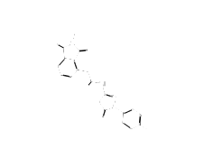 CN1C(=O)c2cccc(CC(=O)NC3=NN(c4ccc(Cl)cc4)C(=O)C3)c2C1=O